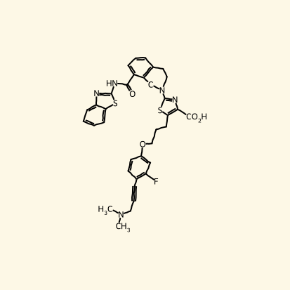 CN(C)CC#Cc1ccc(OCCCc2sc(N3CCc4cccc(C(=O)Nc5nc6ccccc6s5)c4C3)nc2C(=O)O)cc1F